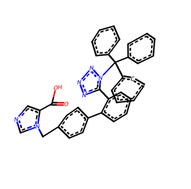 O=C(O)c1cncn1Cc1ccc(-c2ccccc2-c2nnnn2C(c2ccccc2)(c2ccccc2)c2ccccc2)cc1